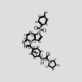 Cc1ccc(S(=O)(=O)n2ccc3c2ncc2nnc(C45CCC(NC(=O)N6CCCC6)(CC4)CC5)n23)cc1